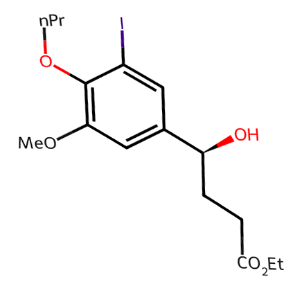 CCCOc1c(I)cc([C@@H](O)CCC(=O)OCC)cc1OC